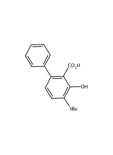 CC(C)(C)c1ccc(-c2ccccc2)c(C(=O)O)c1O